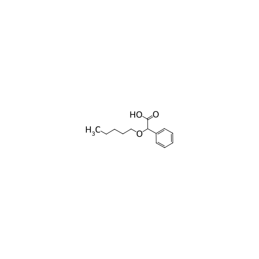 CCCCCOC(C(=O)O)c1ccccc1